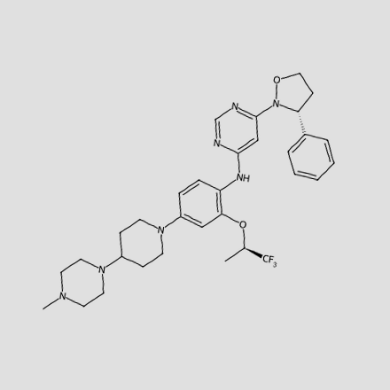 C[C@@H](Oc1cc(N2CCC(N3CCN(C)CC3)CC2)ccc1Nc1cc(N2OCC[C@@H]2c2ccccc2)ncn1)C(F)(F)F